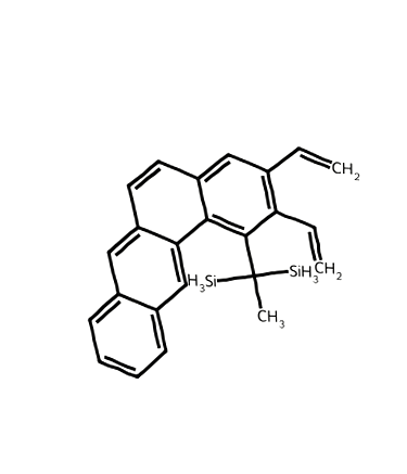 C=Cc1cc2ccc3cc4ccccc4cc3c2c(C(C)([SiH3])[SiH3])c1C=C